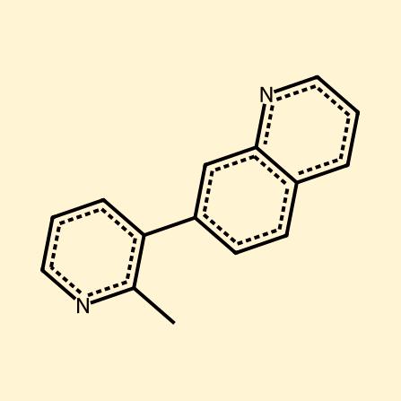 Cc1ncccc1-c1ccc2cccnc2c1